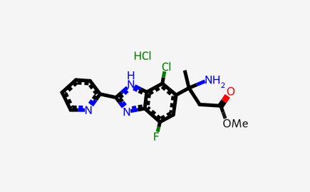 COC(=O)CC(C)(N)c1cc(F)c2nc(-c3ccccn3)[nH]c2c1Cl.Cl